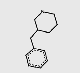 c1ccc(CC2CCC[N]C2)cc1